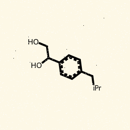 CC(C)Cc1ccc(C(O)CO)cc1